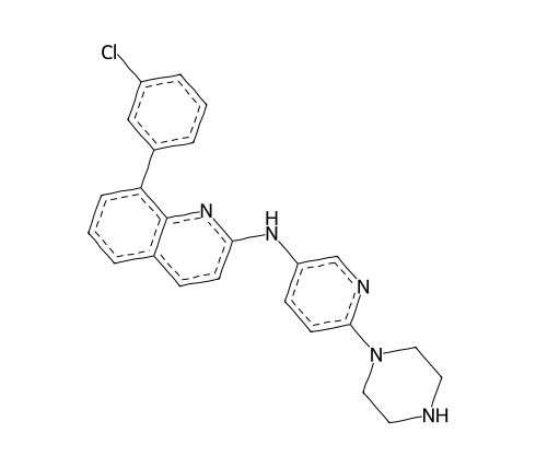 Clc1cccc(-c2cccc3ccc(Nc4ccc(N5CCNCC5)nc4)nc23)c1